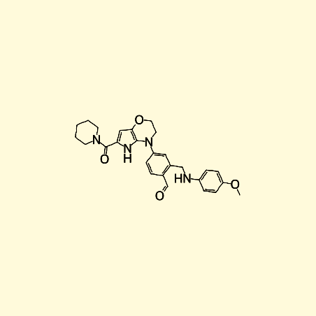 COc1ccc(NCc2cc(N3CCOc4cc(C(=O)N5CCCCC5)[nH]c43)ccc2C=O)cc1